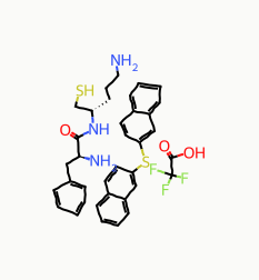 NCCC[C@@H](CS)NC(=O)[C@@H](N)Cc1ccccc1.O=C(O)C(F)(F)F.c1ccc2cc(Sc3ccc4ccccc4c3)ccc2c1